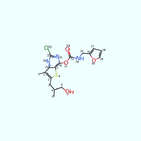 Cc1c(CC(C)CO)sc2c(OC(=O)NCc3ccco3)nc(Cl)nc12